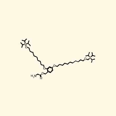 CC(C)[Si](OCCCCCCCCCOc1cc(OCCCCCCCCCCCOCS(C(C)C)(C(C)C)C(C)C)ccc1COC(=O)CN)(C(C)C)C(C)C